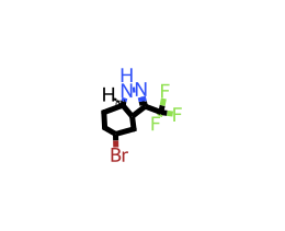 FC(F)(F)C1=NN[C@@H]2CCC(Br)CC12